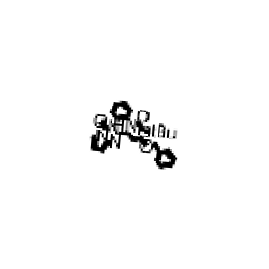 CC(C)(C)OC(=O)NC(CCOCc1ccccc1)c1nc2cccn2c(=O)n1-c1ccccc1